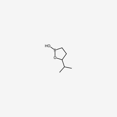 CC(C)C1CCB(O)O1